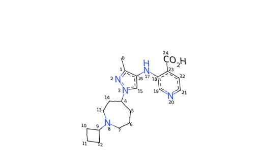 Cc1nn(C2CCCN(C3CCC3)CC2)cc1Nc1cnccc1C(=O)O